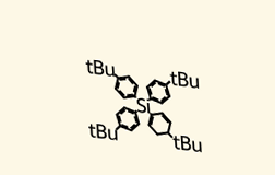 CC(C)(C)c1ccc([Si](C2=CCC(C(C)(C)C)C=C2)(c2ccc(C(C)(C)C)cc2)c2ccc(C(C)(C)C)cc2)cc1